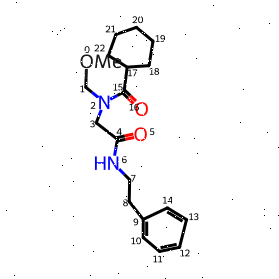 COCN(CC(=O)NCCc1ccccc1)C(=O)C1CCCCC1